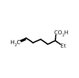 C=CCCCC(CC)C(=O)O